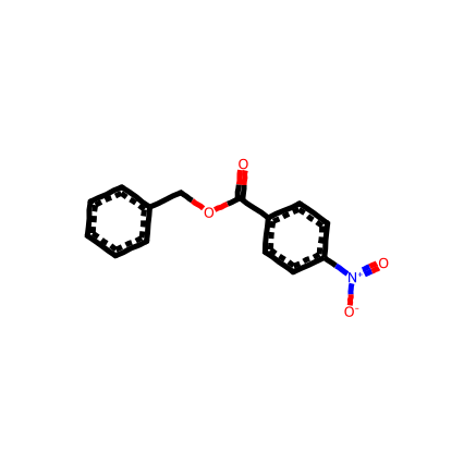 O=C(OCc1ccccc1)c1ccc([N+](=O)[O-])cc1